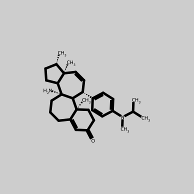 CC(C)N(C)c1ccc([C@H]2C=C[C@@]3(C)C(CC[C@@H]3C)[C@]3(N)CCCC4=CC(=O)CC[C@]4(C)C23)cc1